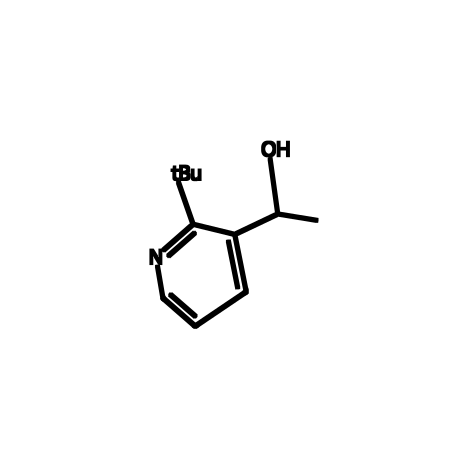 CC(O)c1cccnc1C(C)(C)C